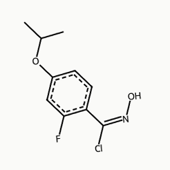 CC(C)Oc1ccc(/C(Cl)=N\O)c(F)c1